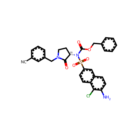 N#Cc1cccc(CN2CC[C@H](N(C(=O)OCc3ccccc3)S(=O)(=O)c3ccc4c(Cl)c(N)ccc4c3)C2=O)c1